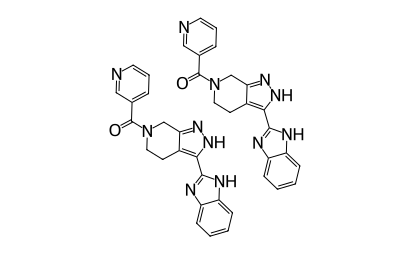 O=C(c1cccnc1)N1CCc2c(n[nH]c2-c2nc3ccccc3[nH]2)C1.O=C(c1cccnc1)N1CCc2c(n[nH]c2-c2nc3ccccc3[nH]2)C1